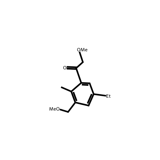 CCc1cc(COC)c(C)c(C(=O)COC)c1